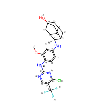 COc1cc(N[C@H]2C3CC4CC2C[C@@](O)(C4)C3)ccc1Nc1ncc(C(F)(F)F)c(Cl)n1